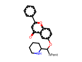 CCCCCC(Oc1ccc2oc(-c3ccccc3)cc(=O)c2c1)C1CCCCN1